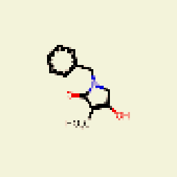 O=C(O)C1=C(O)CN(Cc2ccccc2)C1=O